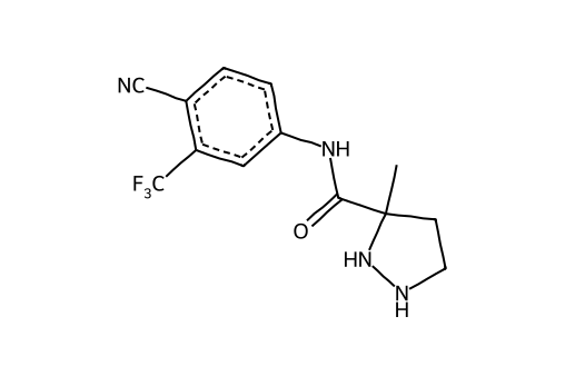 CC1(C(=O)Nc2ccc(C#N)c(C(F)(F)F)c2)CCNN1